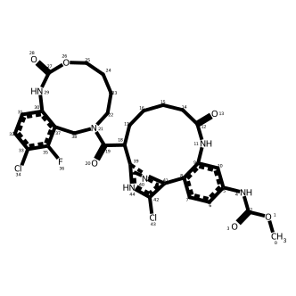 COC(=O)Nc1ccc2c(c1)NC(=O)CCCCC(C(=O)N1CCCCOC(=O)Nc3ccc(Cl)c(F)c3C1)c1nc-2c(Cl)[nH]1